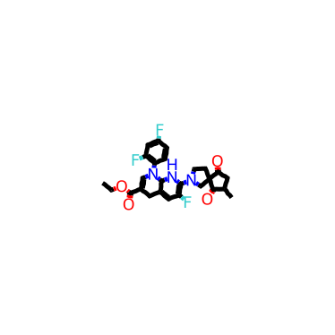 CCOC(=O)C1=CN(c2ccc(F)cc2F)C2NC(N3CCC4(C3)C(=O)CC(C)C4=O)=C(F)C=C2C1